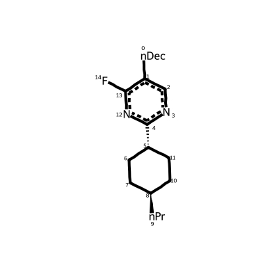 CCCCCCCCCCc1cnc([C@H]2CC[C@H](CCC)CC2)nc1F